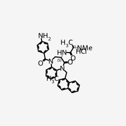 CN[C@@H](C)C(=O)N[C@H]1CN(C(=O)c2ccc(N)cc2)c2ccccc2N(Cc2c(C)ccc3ccccc23)C1=O.Cl